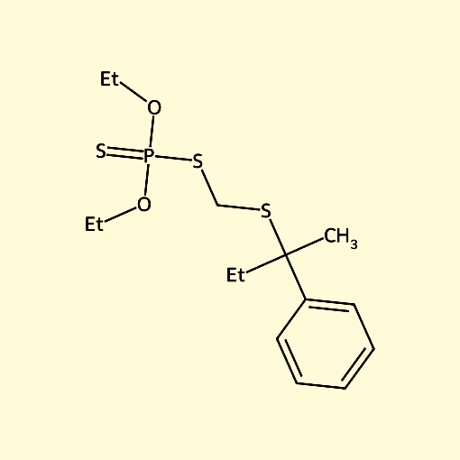 CCOP(=S)(OCC)SCSC(C)(CC)c1ccccc1